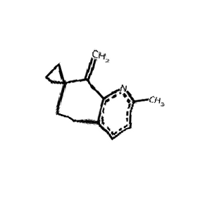 C=C1c2nc(C)ccc2CCC12CC2